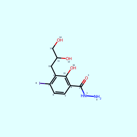 NNC(=O)c1ccc(I)c(CC(O)CO)c1O